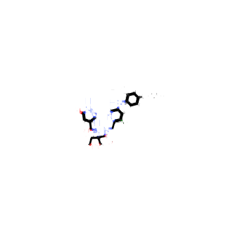 COc1ccc(Nc2cnc(CNC(=O)[C@]3(NC(=O)c4cn[nH]c(=O)c4)CCOC3)c(Cl)c2)c(C(F)(F)F)c1